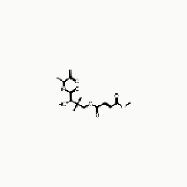 COC(=O)/C=C/C(=O)OCC(C)(C)[C@@H](O)C(=O)N[C@@H](C)C(C)=O